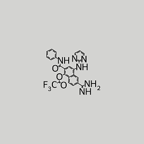 N=C(N)c1ccc2c(OC(=O)C(F)(F)F)c(C(=O)Nc3ccccc3)cc(Nc3ncccn3)c2c1